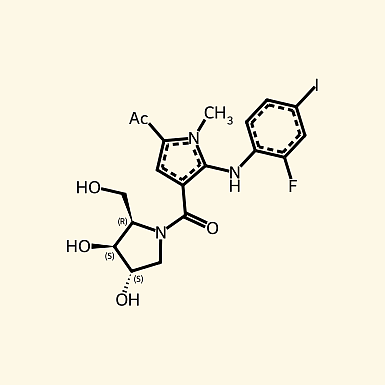 CC(=O)c1cc(C(=O)N2C[C@H](O)[C@@H](O)[C@H]2CO)c(Nc2ccc(I)cc2F)n1C